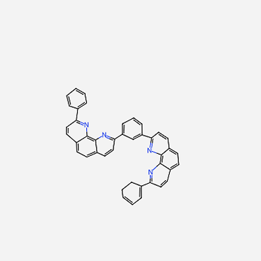 C1=CCCC(c2ccc3ccc4ccc(-c5cccc(-c6ccc7ccc8ccc(-c9ccccc9)nc8c7n6)c5)nc4c3n2)=C1